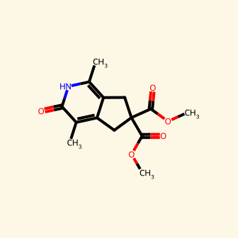 COC(=O)C1(C(=O)OC)Cc2c(C)[nH]c(=O)c(C)c2C1